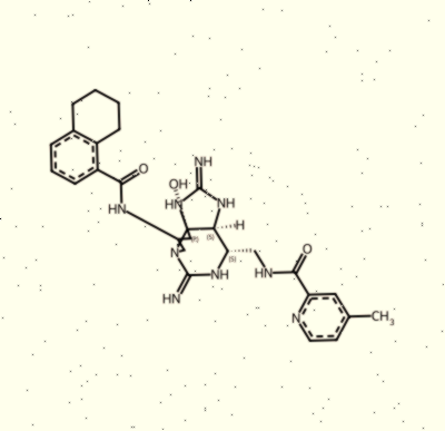 Cc1ccnc(C(=O)NC[C@@H]2NC(=N)N3CC(NC(=O)c4cccc5c4CCCC5)[C@@H](O)C34NC(=N)N[C@@H]24)c1